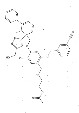 CC(=O)NCCNCc1cc(Cl)c(OCC2(c3cc(CO)no3)C=CC=C(c3ccccc3)C2C)cc1OCc1cccc(C#N)c1